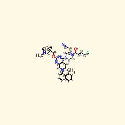 Cc1cccc2cccc(N3CCc4c(nc(OCC5(CN(C)C)CC5)nc4N4CCN(C(=O)/C=C/CF)[C@@H](CC#N)C4)C3)c12